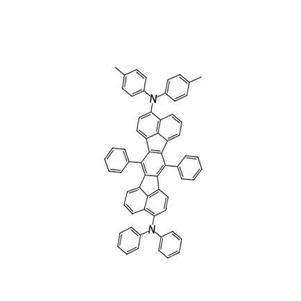 Cc1ccc(N(c2ccc(C)cc2)c2ccc3c4c(-c5ccccc5)c5c6cccc7c(N(c8ccccc8)c8ccccc8)ccc(c5c(-c5ccccc5)c4c4cccc2c43)c76)cc1